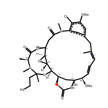 COc1cc2cc(c1Cl)N(C)C(=O)C[C@@H]1OC(=O)[C@H](C)N(C)C(C)(CCS)O[C@H]([C@@H]3C[C@@](O)(NC(=O)O3)[C@H](OC)/C=C/C=C(\C)C2)[C@@H]2O[C@@]12C